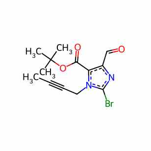 CC#CCn1c(Br)nc(C=O)c1C(=O)OC(C)(C)C